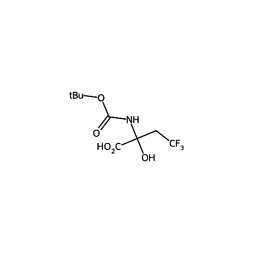 CC(C)(C)OC(=O)NC(O)(CC(F)(F)F)C(=O)O